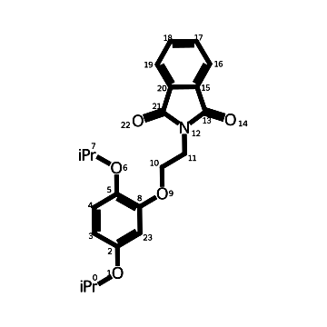 CC(C)Oc1ccc(OC(C)C)c(OCCN2C(=O)c3ccccc3C2=O)c1